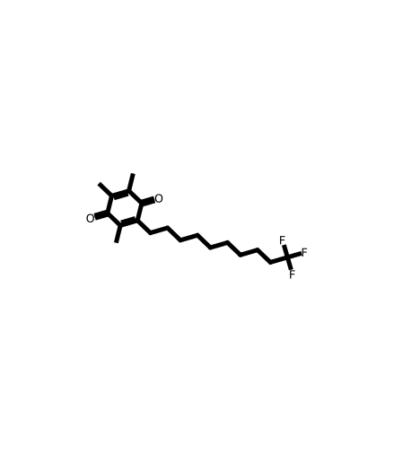 CC1=C(C)C(=O)C(CCCCCCCCCC(F)(F)F)=C(C)C1=O